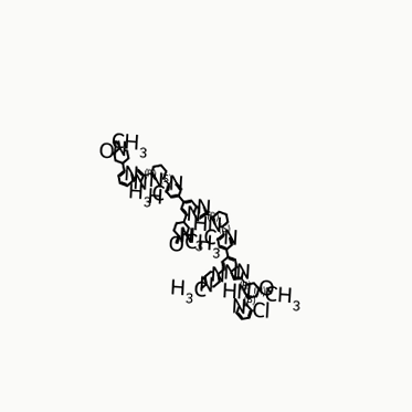 CO[C@H]1C[C@@H](c2ncccc2Cl)N[C@@H](c2cn3c(N4CCN(C)CC4)cc(-c4cnc([C@@H]5CCC[C@H](c6cn7c(C8CCC(=O)N(C)C8)cc(-c8cnc([C@@H]9CCC[C@H](c%10cn%11c(C%12CCN(C)C(=O)C%12)cccc%11n%10)N9)c(C)c8)cc7n6)N5)c(C)c4)cc3n2)C1